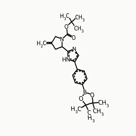 C=C1CC(c2ncc(-c3ccc(B4OC(C)(C)C(C)(C)O4)cc3)[nH]2)N(C(=O)OC(C)(C)C)C1